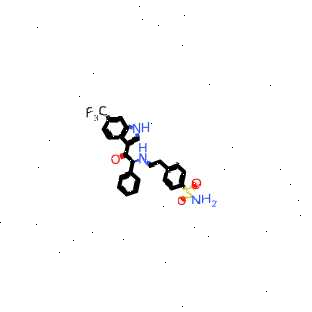 NS(=O)(=O)c1ccc(CCN[C@H](C(=O)c2c[nH]c3cc(C(F)(F)F)ccc23)c2ccccc2)cc1